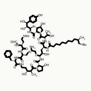 CC[C@H](C)C[C@H](C)CCCCCCCCC(=O)N[C@@H](C[C@@H](O)[C@H](NC(=O)[C@@H]1[C@@H](O)CCN1C(=O)[C@@H](C)[C@H](O)CCNC(=O)[C@H](Cc1ccccc1)NC(=O)[C@H](CC(C)C)NC(=O)[C@H](CCSC)NC=O)OCCN)C(=O)N[C@H](C(=O)N1C[C@H](O)C[C@H]1C(=O)N[C@H](C(C)=O)[C@H](O)[C@@H](O)c1ccc(O)cc1)[C@@H](C)O